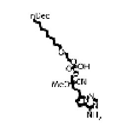 CCCCCCCCCCCCCCCCCCOCCOP(=O)(O)OC[C@](C#N)(CCc1ccc2c(N)ncnn12)OC